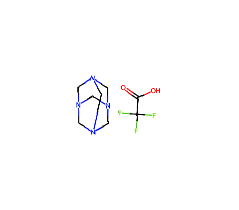 C1N2CN3CN1CN(C2)C3.O=C(O)C(F)(F)F